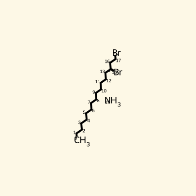 CCCCCCCCCCCCCCC(Br)CCBr.N